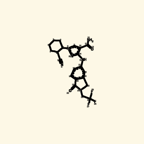 N#CC1CCCCC1n1cc(C(N)=O)c(Nc2ccc3c(c2)CN(CC(F)(F)F)C3=O)n1